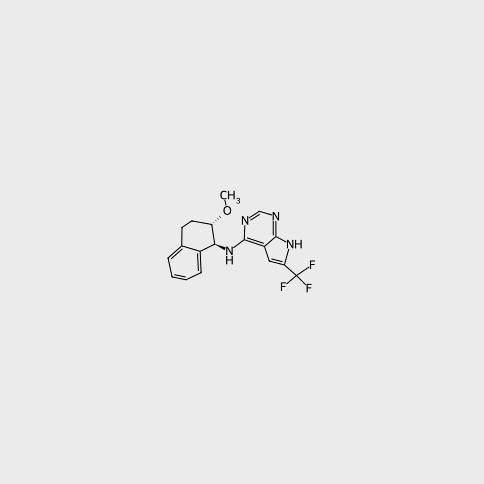 CO[C@H]1CCc2ccccc2[C@@H]1Nc1ncnc2[nH]c(C(F)(F)F)cc12